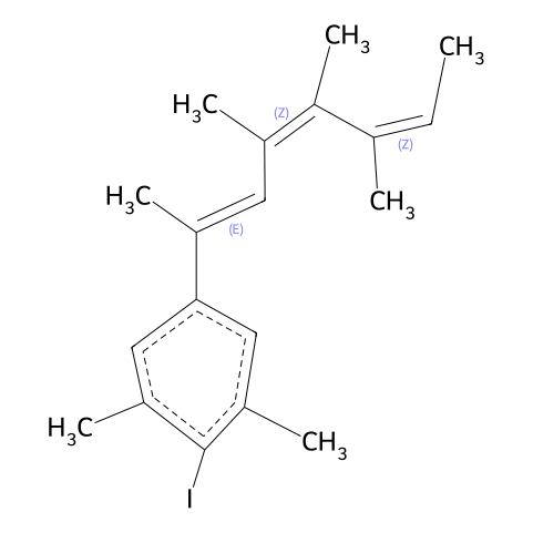 C\C=C(C)/C(C)=C(C)\C=C(/C)c1cc(C)c(I)c(C)c1